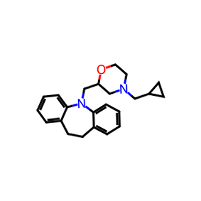 c1ccc2c(c1)CCc1ccccc1N2CC1CN(CC2CC2)CCO1